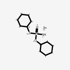 O=P(S)(OC1CCCCC1)SC1CCCCC1.[Zn]